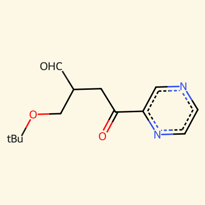 CC(C)(C)OCC(C=O)CC(=O)c1cnccn1